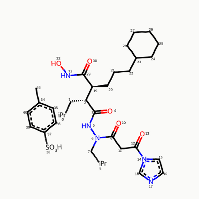 CC(C)C[C@@H](C(=O)NN(CC(C)C)C(=O)CC(=O)n1ccnc1)[C@H](CCCC1CCCCC1)C(=O)NO.Cc1ccc(S(=O)(=O)O)cc1